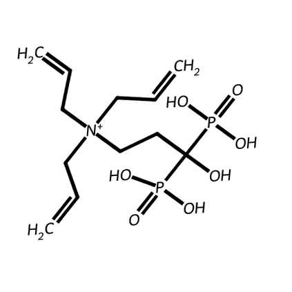 C=CC[N+](CC=C)(CC=C)CCC(O)(P(=O)(O)O)P(=O)(O)O